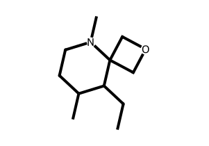 CCC1C(C)CCN(C)C12COC2